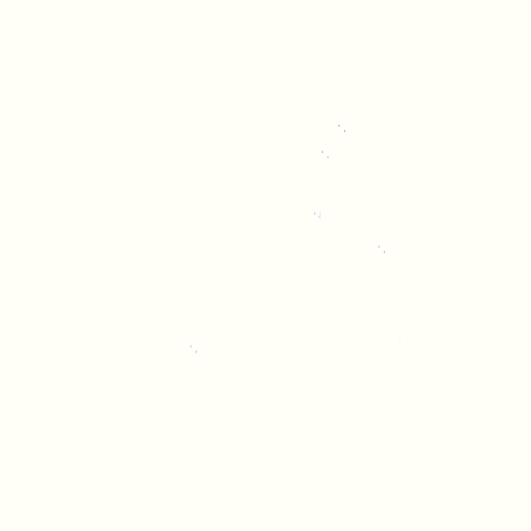 Cc1c(Cl)nn(C(C)C)c1Nc1nc(Cl)c(Cl)c2c1C(=O)C1CCN(C(=O)OC(C)(C)C)C[C@@H]1CO2